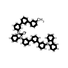 Cc1cccc(-c2cccc(-c3cccc(-n4c(=O)n(-c5cccc(-c6cccc(-c7cccc(-n8c9ccccc9c9ccccc98)c7)c6)c5)c5ccccc54)c3)c2)c1